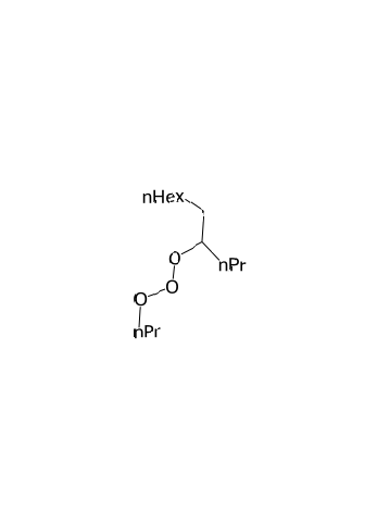 CCCCCCCC(CCC)OOOCCC